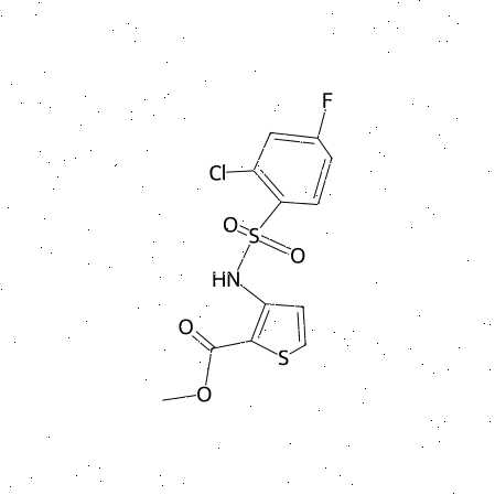 COC(=O)c1sccc1NS(=O)(=O)c1ccc(F)cc1Cl